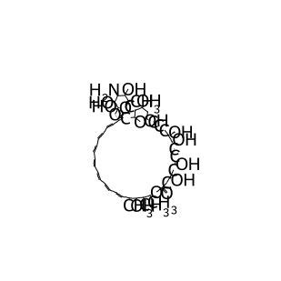 CC1OC(O[C@H]2/C=C/C=C/C=C/C=C/C=C/C=C/C=C/[C@H](C)[C@@H](O)[C@@H](C)[C@H](C)OC(=O)C[C@H](O)C[C@H](O)CC[C@@H](O)[C@H](O)CCC[C@]3(O)C[C@H](O)[C@@H](C(=O)O)C(C2)O3)C(O)C(N)C1O